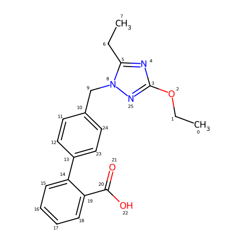 CCOc1nc(CC)n(Cc2ccc(-c3ccccc3C(=O)O)cc2)n1